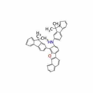 CC1(C)c2ccccc2-c2ccc(Nc3ccc4c(oc5c6ccccc6ccc45)c3-c3ccc4c(c3)C(C)(C)c3ccccc3-4)cc21